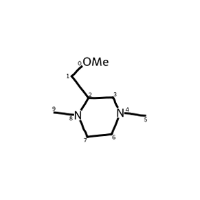 COCC1CN(C)CCN1C